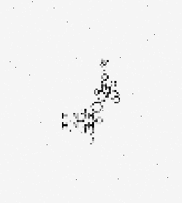 CCCCN1C(=O)C(=C(N)N)C(=O)N(C2CCC(C)(CN3C(=O)N(COCC[Si](C)(C)C)C(=O)[C@@]34CCOC4)CC2)C1=O